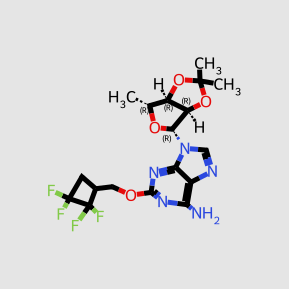 C[C@H]1O[C@@H](n2cnc3c(N)nc(OCC4CC(F)(F)C4(F)F)nc32)[C@@H]2OC(C)(C)O[C@@H]21